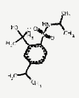 CC(C)NS(=O)(=O)c1ccc(C(C)C)cc1C(C)(C)O